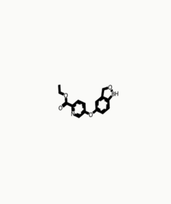 CCOC(=O)c1ccc(Oc2ccc3c(c2)COB3)cn1